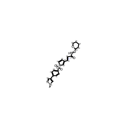 Cn1cc(-c2ccc(S(=O)(=O)n3ccc(/C=C/C(=O)NOC4CCCCO4)c3)cc2)cn1